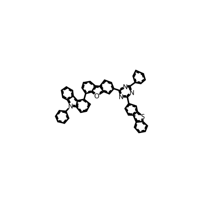 c1ccc(-c2nc(-c3ccc4c(c3)oc3c(-c5cccc6c5c5ccccc5n6-c5ccccc5)cccc34)nc(-c3ccc4c(c3)sc3ccccc34)n2)cc1